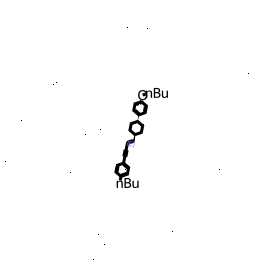 CCCCOc1ccc([C@H]2CC[C@H](/C=C/C#Cc3ccc(CCCC)cc3)CC2)cc1